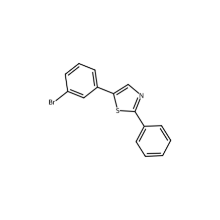 Brc1cccc(-c2cnc(-c3ccccc3)s2)c1